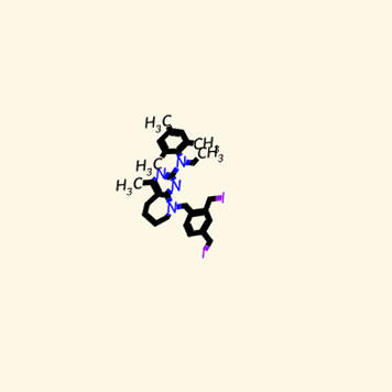 CCN(c1nc(C)c2c(n1)N(Cc1ccc(CI)cc1CI)CCCC2)c1c(C)cc(C)cc1C